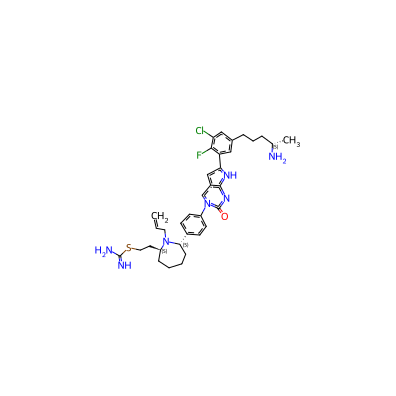 C=CCN1[C@H](CCSC(=N)N)CCCC[C@H]1c1ccc(-n2cc3cc(-c4cc(CCC[C@H](C)N)cc(Cl)c4F)[nH]c3nc2=O)cc1